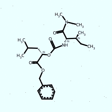 CC[C@H](C)[C@H](NC(=O)O[C@@H](CC(C)C)C(=O)OCc1ccccc1)C(=O)N(C)C